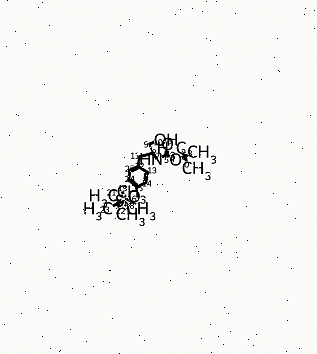 CC(C)(C)OC(=O)N[C@H](CO)Cc1ccc(O[Si](C)(C)C(C)(C)C)cc1